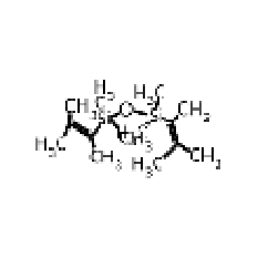 CC(C)=C(C)[Si](C)(C)O[Si](C)(C)C(C)=C(C)C